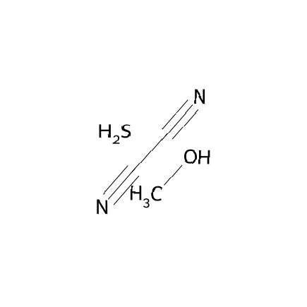 CO.N#CC#N.S